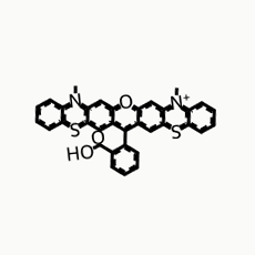 Cn1c2ccccc2sc2cc3c(-c4ccccc4C(=O)O)c4cc5sc6ccccc6[n+](C)c5cc4oc3cc21